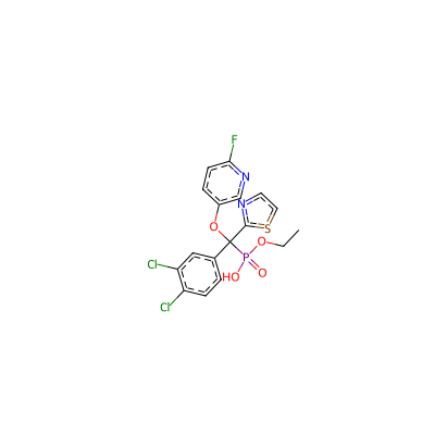 CCOP(=O)(O)C(Oc1ccc(F)nc1)(c1ccc(Cl)c(Cl)c1)c1nccs1